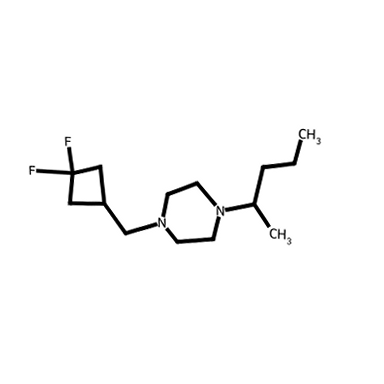 CCCC(C)N1CCN(CC2CC(F)(F)C2)CC1